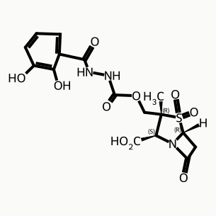 C[C@]1(COC(=O)NNC(=O)c2cccc(O)c2O)[C@H](C(=O)O)N2C(=O)C[C@H]2S1(=O)=O